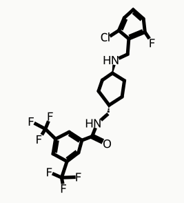 O=C(NC[C@H]1CC[C@H](NCc2c(F)cccc2Cl)CC1)c1cc(C(F)(F)F)cc(C(F)(F)F)c1